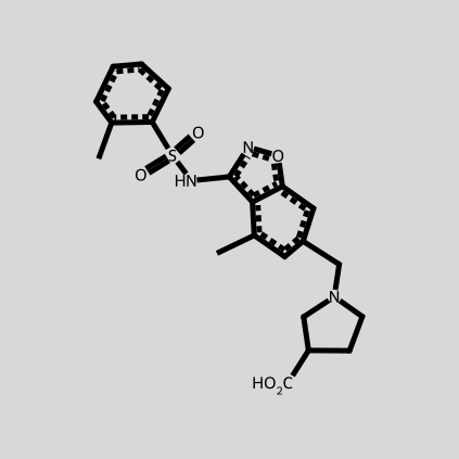 Cc1ccccc1S(=O)(=O)Nc1noc2cc(CN3CCC(C(=O)O)C3)cc(C)c12